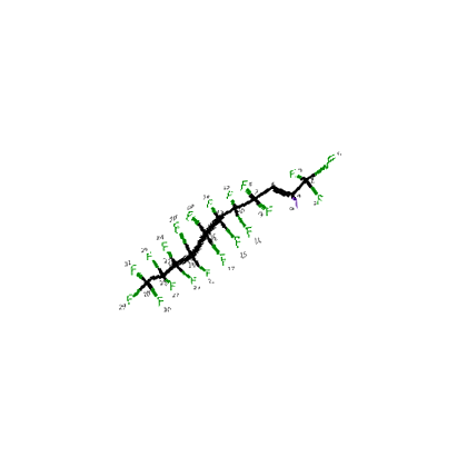 FC(F)(F)C(I)=CC(F)(F)C(F)(F)C(F)(F)C(F)(F)C(F)(F)C(F)(F)C(F)(F)C(F)(F)F